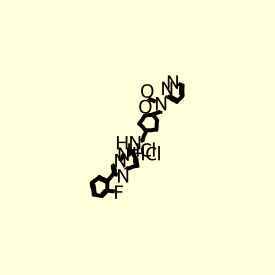 Cl.Cl.O=C1OC2(CCC(CNc3ccc4nc(-c5ccccc5F)cn4n3)CC2)CN1c1cccnn1